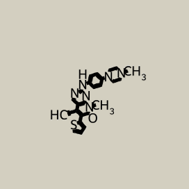 C#Cc1c(-c2cccs2)c(=O)n(C)c2nc(Nc3ccc(N4CCN(C)CC4)cc3)ncc12